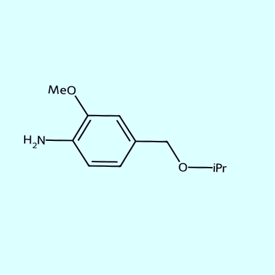 COc1cc(COC(C)C)ccc1N